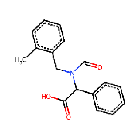 Cc1ccccc1CN(C=O)C(C(=O)O)c1ccccc1